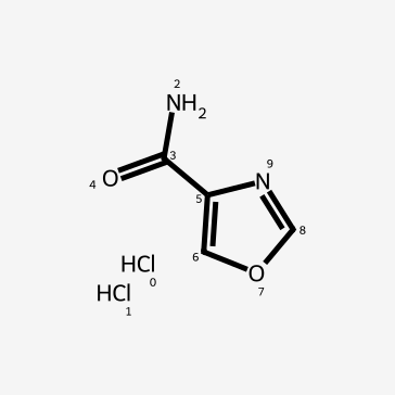 Cl.Cl.NC(=O)c1cocn1